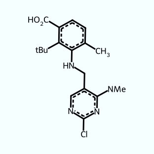 CNc1nc(Cl)ncc1CNc1c(C)ccc(C(=O)O)c1C(C)(C)C